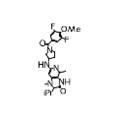 COc1c(F)cc(C(=O)N2CC[C@@H](Nc3cc4c(c(C)n3)NC(=O)C(C(C)C)N4C)C2)cc1F